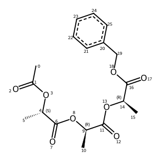 CC(=O)O[C@@H](C)C(=O)O[C@H](C)C(=O)O[C@H](C)C(=O)OCc1ccccc1